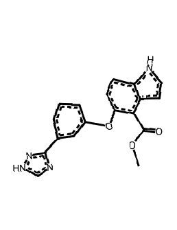 COC(=O)c1c(Oc2cccc(-c3nc[nH]n3)c2)ccc2[nH]ccc12